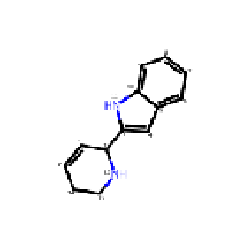 C1=CC(c2cc3ccccc3[nH]2)NCC1